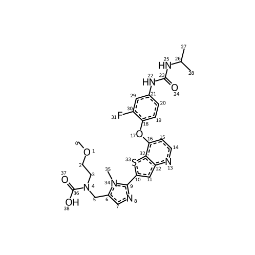 COCCN(Cc1cnc(-c2cc3nccc(Oc4ccc(NC(=O)NC(C)C)cc4F)c3s2)n1C)C(=O)O